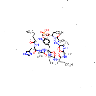 CC[C@H](C)[C@H](NC(=O)[C@H](Cc1c[nH]cn1)NC(=O)[C@@H](N)CCC(=O)O)C(=O)N[C@@H](Cc1ccc(OP(=O)(O)O)cc1)C(=O)N[C@@H](CC(=O)O)C(=O)N[C@@H](CCC(=O)O)C(=O)N[C@H](C(=O)N[C@@H](C)C(=O)N[C@@H](C)C(=O)N[C@@H](CC(=O)O)C(=O)O)C(C)C